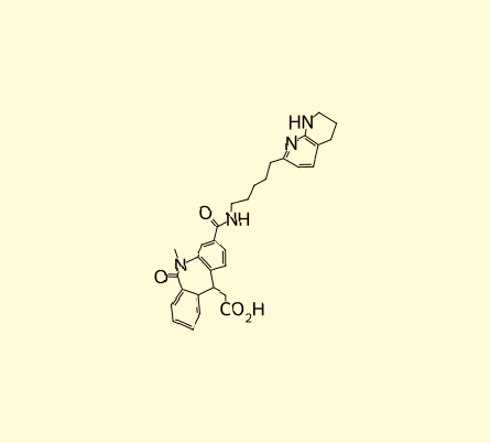 CN1C(=O)c2ccccc2C(CC(=O)O)c2ccc(C(=O)NCCCCCc3ccc4c(n3)NCCC4)cc21